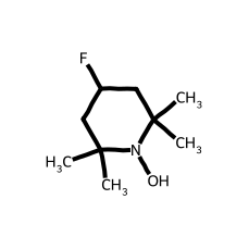 CC1(C)CC(F)CC(C)(C)N1O